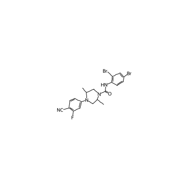 CC1CN(c2ccc(C#N)c(F)c2)C(C)CN1C(=O)Nc1ccc(Br)cc1Br